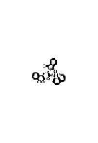 O=C(Nc1cccc2cccnc12)[C@H](CC1=COOc2ccccc21)N1C(=O)c2ccccc2C1=O